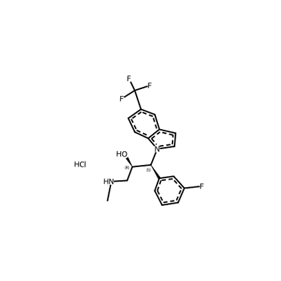 CNC[C@@H](O)[C@H](c1cccc(F)c1)n1ccc2cc(C(F)(F)F)ccc21.Cl